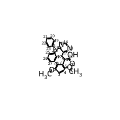 COc1ccc(OC)c(C(Cc2cncnc2N(c2ccccc2)c2ccccc2)C(=O)O)c1